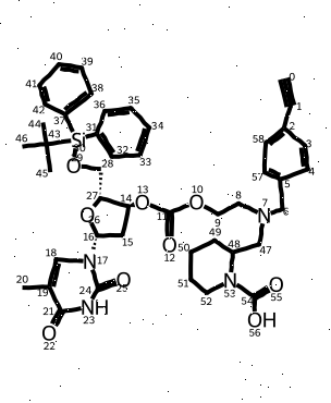 C#Cc1ccc(CN(CCOC(=O)O[C@H]2C[C@H](n3cc(C)c(=O)[nH]c3=O)O[C@@H]2CO[Si](c2ccccc2)(c2ccccc2)C(C)(C)C)CC2CCCCN2C(=O)O)cc1